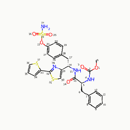 COC(=O)N[C@@H](Cc1ccccc1)C(=O)N[C@@H](Cc1ccc(OS(N)(=O)=O)cc1)c1csc(-c2cccs2)n1